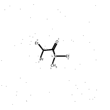 CCC(C(=O)N(C)CC)C(C)C